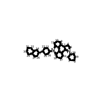 c1ccc(-n2ccc3c4cccc5c4c4c(cccc4n5-c4ccc(-c5ccc6ccccc6c5)cc4)c32)cc1